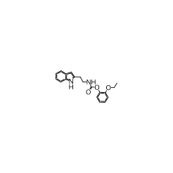 CCOc1ccccc1OC(=O)NCCc1cc2ccccc2[nH]1